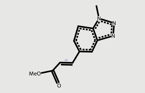 COC(=O)/C=C/c1ccc2c(c1)nnn2C